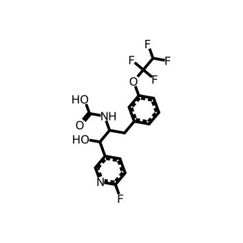 O=C(O)NC(Cc1cccc(OC(F)(F)C(F)F)c1)C(O)c1ccc(F)nc1